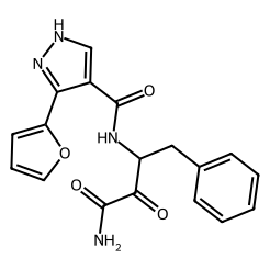 NC(=O)C(=O)C(Cc1ccccc1)NC(=O)c1c[nH]nc1-c1ccco1